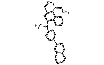 C=Cc1cc(N(C)c2ccc(-c3ccc4ccccc4c3)cc2)c2ccccc2c1/C=C\C